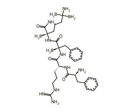 BC(B)(N)CCC[C@](B)(NC(=O)[C@](B)(Cc1ccccc1)NC(=O)[C@@H](CCCNC(=N)N)NC(=O)[C@@H](N)Cc1ccccc1)C(N)=O